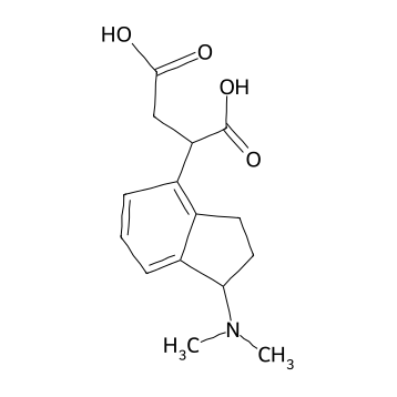 CN(C)C1CCc2c(C(CC(=O)O)C(=O)O)cccc21